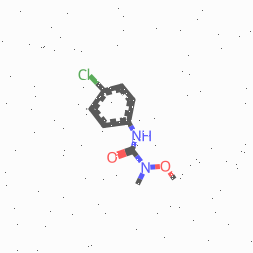 CON(C)C(=O)Nc1c[c]c(Cl)cc1